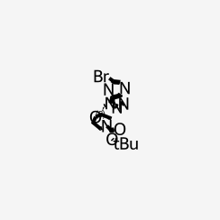 CC(C)(C)OC(=O)N1CCO[C@H](Cn2nnc3ncc(Br)nc32)C1